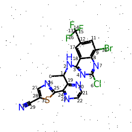 CC(Nc1nc(Cl)nc2c(Br)cc(C(F)(F)F)cc12)c1nccnc1-c1ncc(C#N)s1